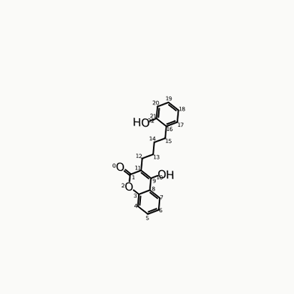 O=c1oc2ccccc2c(O)c1CCCCc1ccccc1O